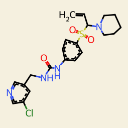 C=CC(N1CCCCC1)S(=O)(=O)c1ccc(NC(=O)NCc2cncc(Cl)c2)cc1